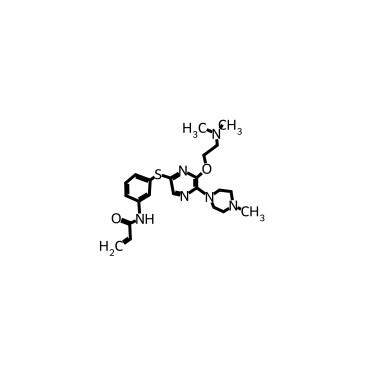 C=CC(=O)Nc1cccc(Sc2cnc(N3CCN(C)CC3)c(OCCN(C)C)n2)c1